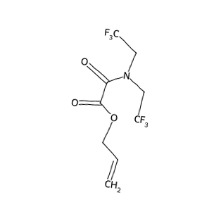 C=CCOC(=O)C(=O)N(CC(F)(F)F)CC(F)(F)F